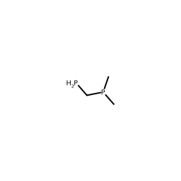 CP(C)CP